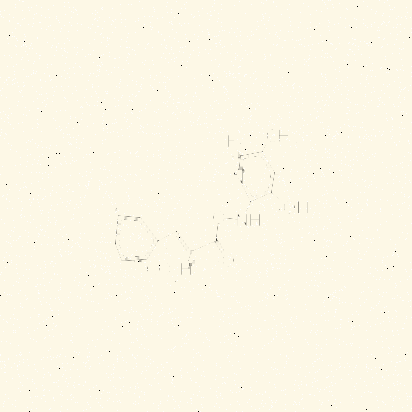 Cc1cc(O)c(NOC(=O)C(=Cc2ccccc2)C(=O)O)nc1F